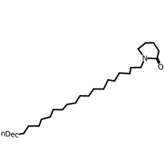 CCCCCCCCCCCCCCCCCCCCCCCCCCCCCN1CCCCC1=O